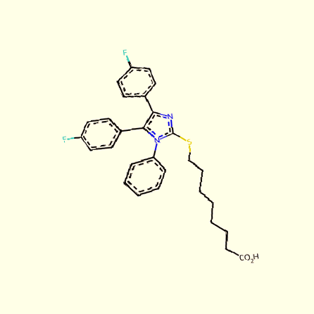 O=C(O)CCCCCCCSc1nc(-c2ccc(F)cc2)c(-c2ccc(F)cc2)n1-c1ccccc1